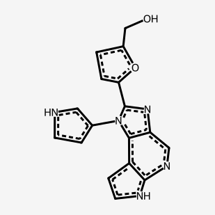 OCc1ccc(-c2nc3cnc4[nH]ccc4c3n2-c2cc[nH]c2)o1